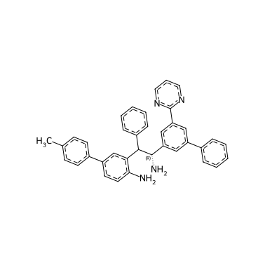 Cc1ccc(-c2ccc(N)c(C(c3ccccc3)[C@@H](N)c3cc(-c4ccccc4)cc(-c4ncccn4)c3)c2)cc1